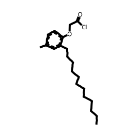 CCCCCCCCCCCCc1cc(C)ccc1OCC(=O)Cl